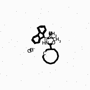 C[SiH](C)[Ti+2]([NH]C(=O)C1CCCCCCCCCCC1)[CH]1c2ccccc2-c2ccccc21.[Cl-].[Cl-]